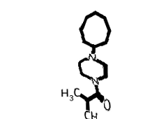 CC(C)C(=O)N1CCN(C2CCCCCCC2)CC1